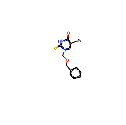 CC(C)c1cn(COCc2ccccc2)c(=S)[nH]c1=O